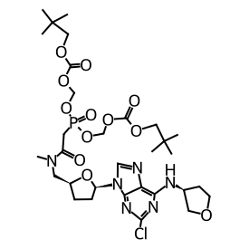 CN(C[C@@H]1CC[C@H](n2cnc3c(N[C@H]4CCOC4)nc(Cl)nc32)O1)C(=O)CP(=O)(OCOC(=O)OCC(C)(C)C)OCOC(=O)OCC(C)(C)C